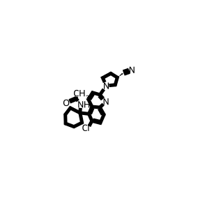 CC(=O)NC1(c2c(Cl)ccc3nc(N4CC[C@H](C#N)C4)ccc23)CCCCC1